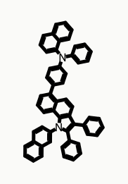 c1ccc(-c2c(-c3ccccc3)n(-c3ccc4ccccc4c3)c3c2ccc2c(-c4ccc(N(c5ccccc5)c5cccc6ccccc56)cc4)cccc23)cc1